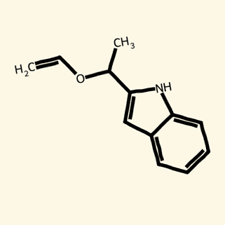 C=COC(C)c1cc2ccccc2[nH]1